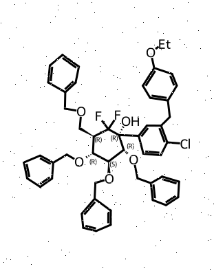 CCOc1ccc(Cc2cc([C@@]3(O)[C@H](OCc4ccccc4)[C@@H](OCc4ccccc4)[C@H](OCc4ccccc4)[C@@H](COCc4ccccc4)C3(F)F)ccc2Cl)cc1